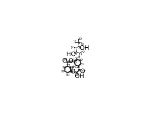 CC(C)C(O)C(C)C(O)C(C)(C)C.O=C(O)C(=O)c1ccccc1.O=C(O)c1ccccc1